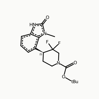 Cn1c(=O)[nH]c2cccc([C@@H]3CCN(C(=O)OC(C)(C)C)CC3(F)F)c21